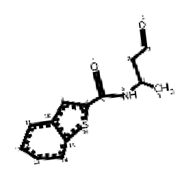 CC(CC=O)NC(=O)c1cc2ccccc2s1